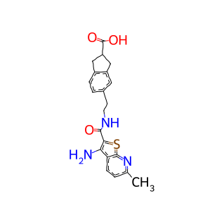 Cc1ccc2c(N)c(C(=O)NCCc3ccc4c(c3)CC(C(=O)O)C4)sc2n1